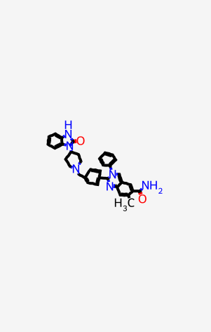 Cc1cc2c(cc1C(N)=O)=CN(c1ccccc1)C(c1ccc(CN3CCC(n4c(=O)[nH]c5ccccc54)CC3)cc1)N=2